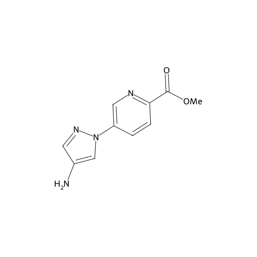 COC(=O)c1ccc(-n2cc(N)cn2)cn1